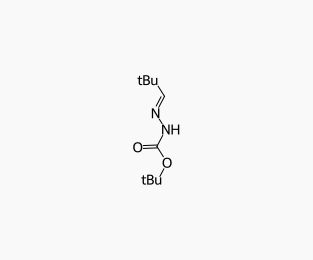 CC(C)(C)/C=N/NC(=O)OC(C)(C)C